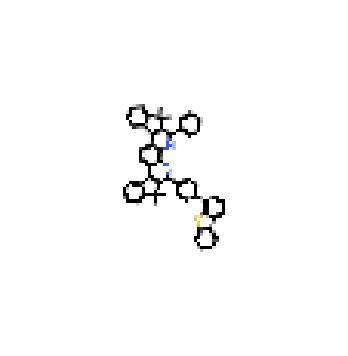 CC1(C)c2ccccc2-c2c1c(-c1ccccc1)nc1c2ccc2c3c(c(-c4ccc(-c5cccc6c5sc5ccccc56)cc4)nc21)C(C)(C)c1ccccc1-3